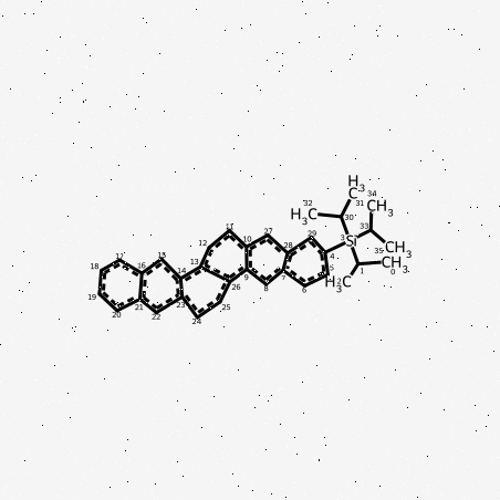 CC(C)[Si](c1ccc2cc3c(ccc4c5cc6ccccc6cc5ccc34)cc2c1)(C(C)C)C(C)C